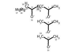 CC(C)[O-].CC(C)[O-].CC(C)[O-].CC(C)[O-].[Mg+2].[Mg+2]